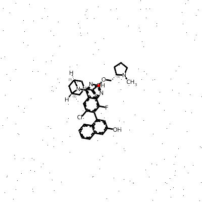 CN1CCC[C@H]1COc1nc(N2[C@H]3C[C@H]2CN(C(=O)O)C3)c2cc(Cl)c(-c3cc(O)cc4ccccc34)c(F)c2n1